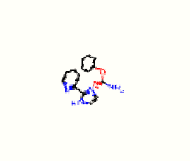 NC(=O)Oc1ccccc1.c1ccc(-c2ncc[nH]2)nc1